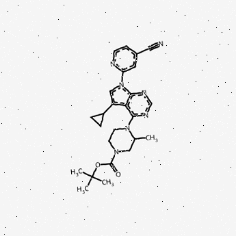 CC1CN(C(=O)OC(C)(C)C)CCN1c1ncnc2c1c(C1CC1)cn2-c1cc(C#N)ccn1